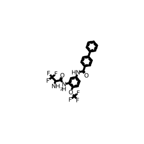 NC(C(=O)Nc1cc(NC(=O)c2ccc(-c3ccccc3)cc2)ccc1OC(F)(F)F)C(F)(F)F